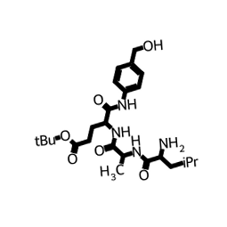 CC(C)CC(N)C(=O)NC(C)C(=O)NC(CCC(=O)OC(C)(C)C)C(=O)Nc1ccc(CO)cc1